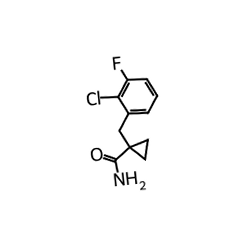 NC(=O)C1(Cc2cccc(F)c2Cl)CC1